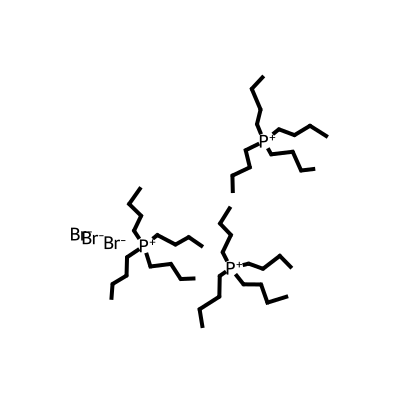 CCCC[P+](CCCC)(CCCC)CCCC.CCCC[P+](CCCC)(CCCC)CCCC.CCCC[P+](CCCC)(CCCC)CCCC.[Br-].[Br-].[Br-]